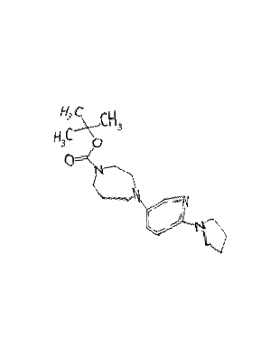 CC(C)(C)OC(=O)N1CCCN(c2ccc(N3CCCC3)nc2)CC1